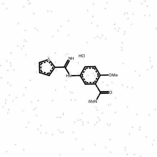 CNC(=O)c1cc(NC(=N)c2cccs2)ccc1OC.Cl